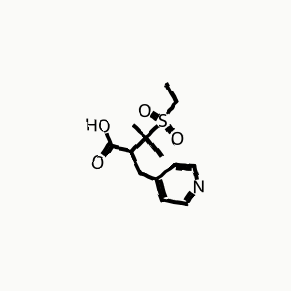 CCS(=O)(=O)C(C)(C)C(Cc1ccncc1)C(=O)O